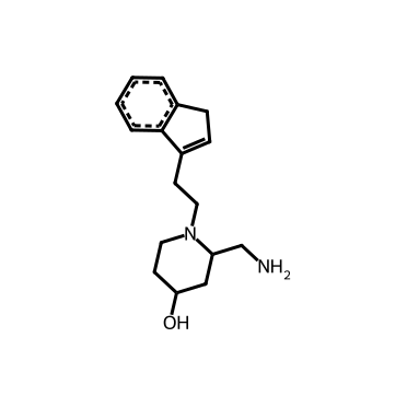 NCC1CC(O)CCN1CCC1=CCc2ccccc21